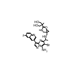 CC(NCC1(CN(C)C(=O)C(C)(CO)CO)CC1)c1nc2c(-c3cnc4ccc(F)cc4c3)cnn2c(N)c1Br